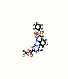 CC1CN(C(=O)OC(C)(C)C)CCN1c1cccc2cc(S(=O)(=O)c3ccccc3)cnc12